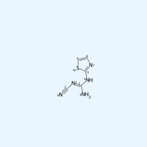 N#CN=C(N)Nc1nccs1